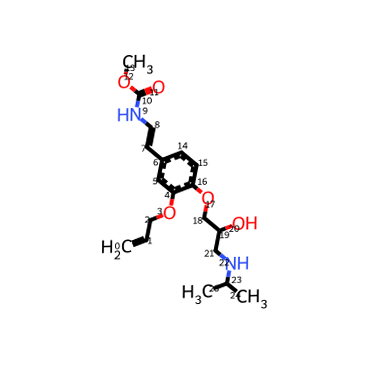 C=CCOc1cc(C=CNC(=O)OC)ccc1OCC(O)CNC(C)C